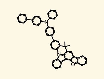 CC1(C)c2cc(-c3ccc(N(c4ccccc4)c4ccc(-c5ccccc5)cc4)cc3)ccc2-n2c3ccccc3c3c4oc5ccccc5c4cc1c32